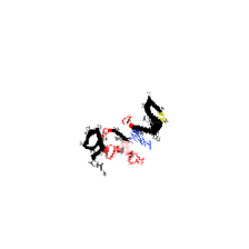 CCC1OB(O)[C@@H](NC(=O)Cc2cccs2)COC12CCCC2